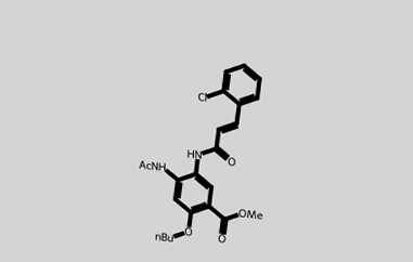 CCCCOc1cc(NC(C)=O)c(NC(=O)C=Cc2ccccc2Cl)cc1C(=O)OC